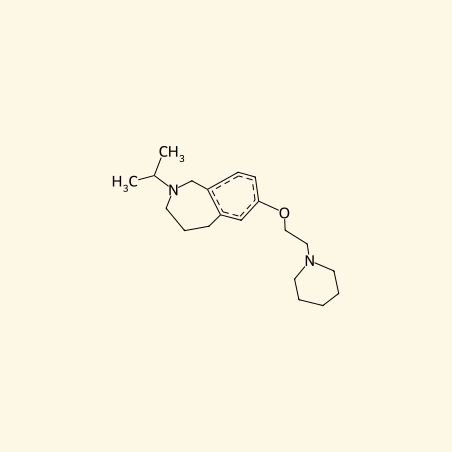 CC(C)N1CCCc2cc(OCCN3CCCCC3)ccc2C1